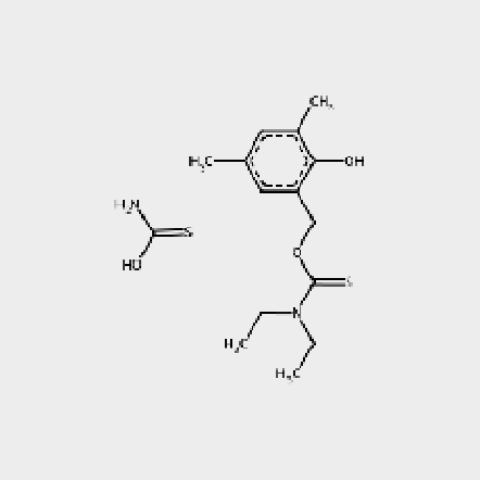 CCN(CC)C(=S)OCc1cc(C)cc(C)c1O.NC(O)=S